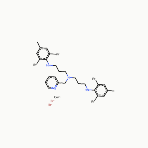 Cc1cc(C(C)C)c(NCCCN(CCCNc2c(C(C)C)cc(C)cc2C(C)C)Cc2ccccn2)c(C(C)C)c1.[Br-].[Br-].[Co+2]